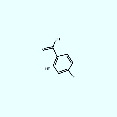 F.O=C(O)c1ccc(F)cc1